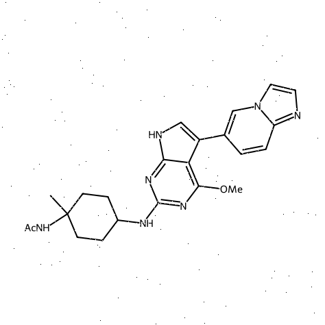 COc1nc(NC2CCC(C)(NC(C)=O)CC2)nc2[nH]cc(-c3ccc4nccn4c3)c12